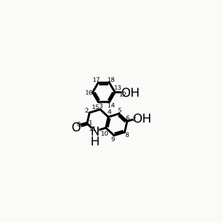 O=C1CCc2cc(O)ccc2N1.Oc1ccccc1